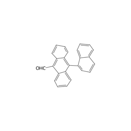 O=Cc1c2ccccc2c(-c2cccc3ccccc23)c2ccccc12